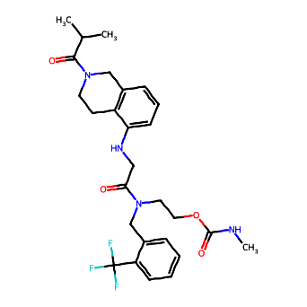 CNC(=O)OCCN(Cc1ccccc1C(F)(F)F)C(=O)CNc1cccc2c1CCN(C(=O)C(C)C)C2